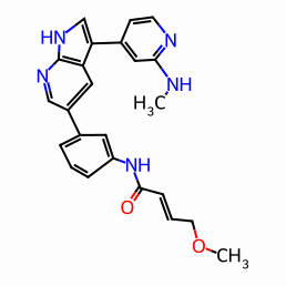 CNc1cc(-c2c[nH]c3ncc(-c4cccc(NC(=O)/C=C/COC)c4)cc23)ccn1